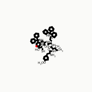 CC[C@H](C)[C@H](NC(=O)[C@@H](N)Cc1ccc(OC)cc1)C(=O)N[C@@H](CCC(=O)NC(c1ccccc1)(c1ccccc1)c1ccccc1)C(=O)N[C@@H](CC(=O)NC(c1ccccc1)(c1ccccc1)c1ccccc1)C(=O)N[C@@H](CS)C(=O)O